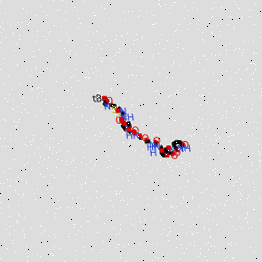 CC(C)(C)c1cnc(CSc2cnc(NC(=O)C3CCN(CC(=O)NCCOCCNC(=O)NCc4cccc5c4CN(C4CCCC(=O)NC4=O)C5=O)CC3)s2)o1